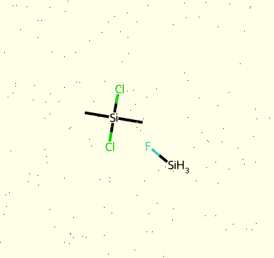 C[Si](C)(Cl)Cl.F[SiH3]